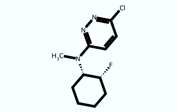 CN(c1ccc(Cl)nn1)[C@H]1CCCC[C@H]1F